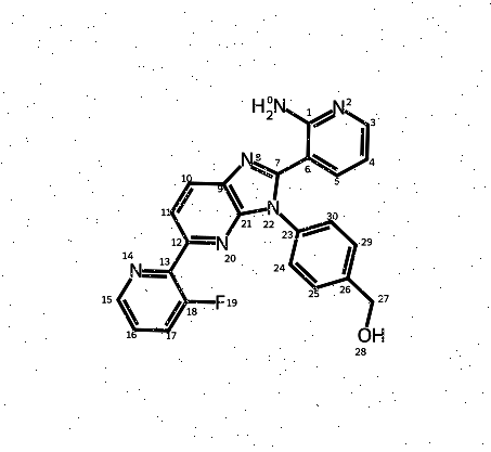 Nc1ncccc1-c1nc2ccc(-c3ncccc3F)nc2n1-c1ccc(CO)cc1